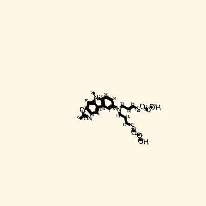 Cc1nc2cc3c4cc(N(CCCSOOO)CCCSOOO)ccc4n(C)c3cc2o1